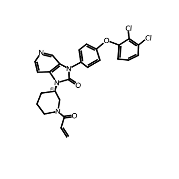 C=CC(=O)N1CCC[C@@H](n2c(=O)n(-c3ccc(Oc4cccc(Cl)c4Cl)cc3)c3cnccc32)C1